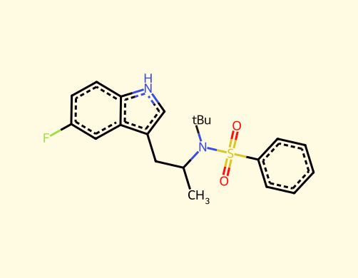 CC(Cc1c[nH]c2ccc(F)cc12)N(C(C)(C)C)S(=O)(=O)c1ccccc1